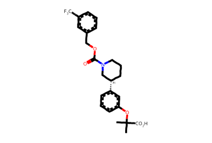 CC(C)(Oc1cccc([C@H]2CCCN(C(=O)OCc3cccc(C(F)(F)F)c3)C2)c1)C(=O)O